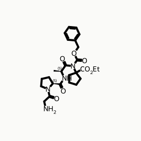 CCOC(=O)C1(N(C(=O)OCc2ccccc2)C(=O)[C@H](C)NC(=O)[C@@H]2CCCN2C(=O)CN)CCCC1